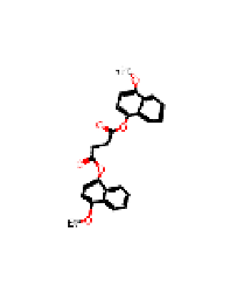 CCCOc1ccc(OC(=O)CCC(=O)Oc2ccc(OCC)c3ccccc23)c2ccccc12